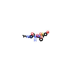 COc1ccc2c(C)c(S(=O)(=O)NC(CC(=O)NC3CCOc4cc(CNCCC(C)C)ccc43)c3ccccc3)sc2c1